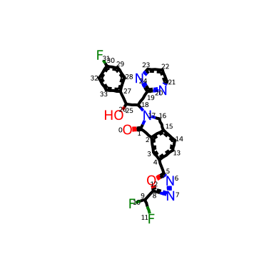 O=C1c2cc(-c3nnc(C(F)F)o3)ccc2CN1C(c1ncccn1)C(O)c1ccc(F)cc1